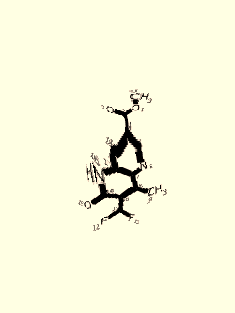 COC(=O)c1cnc2c(C)c(C(F)F)c(=O)[nH]c2c1